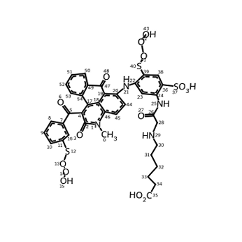 Cn1c(=O)c(C(=O)c2cccc(SOOO)c2)c2c3c(c(Nc4cc(NC(=O)CNCCCCCC(=O)O)c(S(=O)(=O)O)cc4SOOO)ccc31)C(=O)c1ccccc1-2